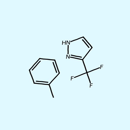 Cc1ccccc1.FC(F)(F)c1cc[nH]n1